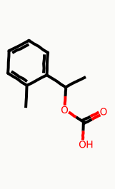 Cc1ccccc1C(C)OC(=O)O